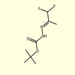 C/C(=N\NC(=O)OC(C)(C)C)C(F)F